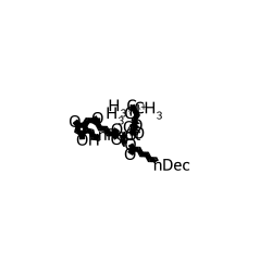 CCCCC/C=C\CC1/C(=C\C2OC2CCCC(=O)OC(COC(=O)CCCCCCCCCCCCCCC)COP(=O)([O-])OCC[N+](C)(C)C)C(=O)CC1O